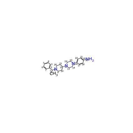 CC(c1ccccc1)N1CCC(N2CCN(c3ccc(N)cc3)CC2)CC1